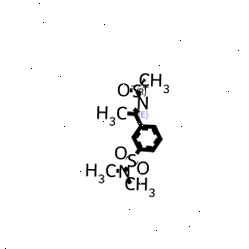 C/C(=N\[S@+](C)[O-])c1cccc(S(=O)(=O)N(C)C)c1